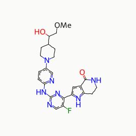 COCC(O)C1CCN(c2ccc(Nc3ncc(F)c(-c4cc5c([nH]4)CCNC5=O)n3)nc2)CC1